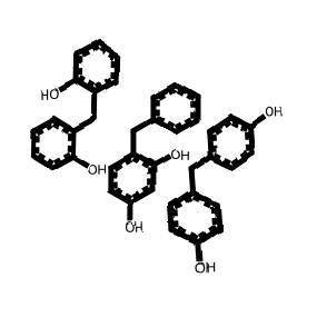 Oc1ccc(Cc2ccc(O)cc2)cc1.Oc1ccc(Cc2ccccc2)c(O)c1.Oc1ccccc1Cc1ccccc1O